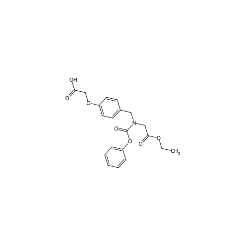 CCOC(=O)CN(Cc1ccc(OCC(=O)O)cc1)C(=O)Oc1ccccc1